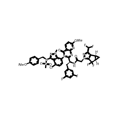 COc1ccc(CN(c2nn(C)c3c(-n4c([C@H](Cc5cc(F)cc(F)c5)NC(=O)Cn5nc(C(F)F)c6c5C(F)(F)[C@@H]5C[C@H]65)nc5nc(OC)ccc5c4=O)ccc(Cl)c23)S(C)(=O)=O)cc1